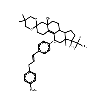 COc1ccc(C/C=C/c2ccc([C@H]3CC4(C)C(CCC4(O)C(F)(F)C(F)(F)F)C4CCC5(O)CC6(CCC5=C43)OCC(C)(C)CO6)cc2)cc1